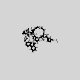 COc1ccc2c(c1)nc(O[C@@H]1C[C@H]3C(=O)N[C@]4(C(=O)NS(=O)(=O)C5(C)CC5)C[C@H]4/C=C\CCCCC[C@H](NC(=O)c4ccc(C)s4)C(=O)N3C1)c1ccc(F)cc12